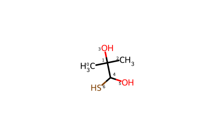 CC(C)(O)C(O)S